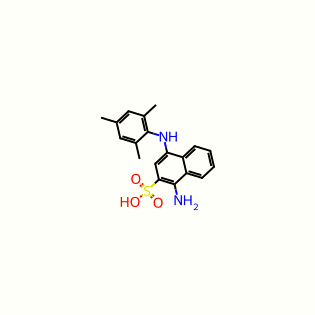 Cc1cc(C)c(Nc2cc(S(=O)(=O)O)c(N)c3ccccc23)c(C)c1